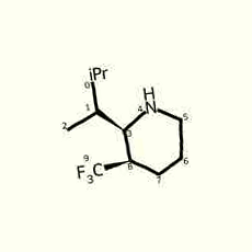 CC(C)C(C)[C@H]1NCCC[C@H]1C(F)(F)F